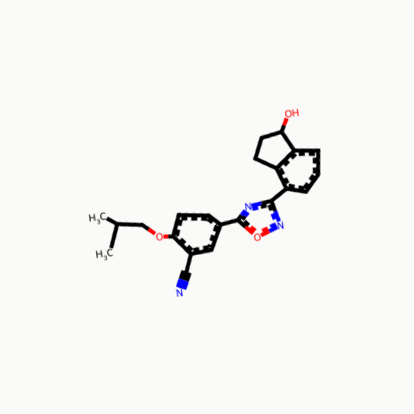 CC(C)COc1ccc(-c2nc(-c3cccc4c3CCC4O)no2)cc1C#N